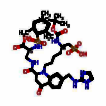 Cc1cc(C)c(S(=O)(=O)N[C@@H](CNC(=O)C2CC(=O)c3ccc(CNc4ncc[nH]4)cc3N2CCCC[C@H](CS(=O)(=O)O)NC(=O)OC(C)(C)C)C(=O)O)c(C)c1